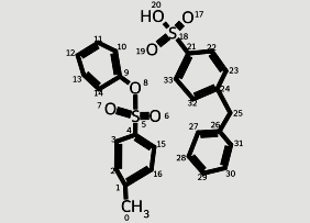 Cc1ccc(S(=O)(=O)Oc2ccccc2)cc1.O=S(=O)(O)c1ccc(Cc2ccccc2)cc1